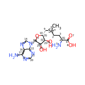 C[Se+](CC[C@H](N)C(=O)O)C[C@H]1O[C@@H](n2cnc3c(N)ncnc32)[C@H](O)[C@@H]1O